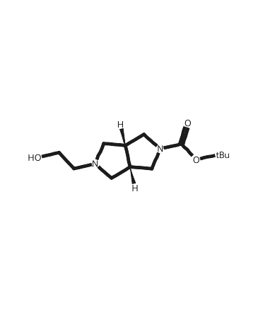 CC(C)(C)OC(=O)N1C[C@H]2CN(CCO)C[C@H]2C1